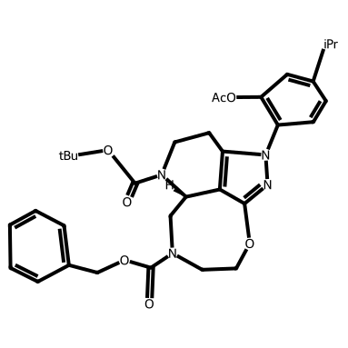 CC(=O)Oc1cc(C(C)C)ccc1-n1nc2c3c1CCN(C(=O)OC(C)(C)C)[C@H]3CN(C(=O)OCc1ccccc1)CCO2